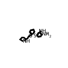 Nc1ccc(Sc2ccccc2OCCC2CCCCN2)cc1N